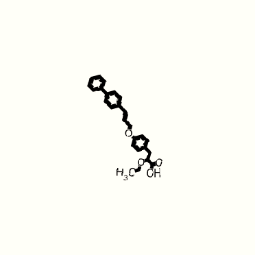 CCOC(Cc1ccc(OCC=Cc2ccc(-c3ccccc3)cc2)cc1)C(=O)O